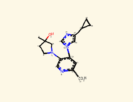 CC1(O)CCN(c2cnc(C(=O)O)cc2-n2cnc(C3CC3)c2)C1